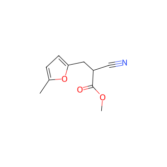 COC(=O)C(C#N)Cc1ccc(C)o1